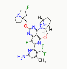 Cc1cc(N)nc(-c2nc3c4c(nc(OC[C@@]56CCCN5C[C@H](F)C6)nc4c2F)N2C[C@@H]4CC[C@@H](N4)[C@H]2CO3)c1C(F)F